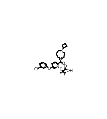 O=C(O)C(F)(F)F.O=C(c1ccc(Oc2cccc(Cl)c2)cn1)N1CCCN(C2CCC2)CC1